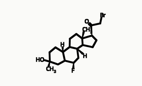 C[C@@]1(O)CC[C@@H]2C3CC[C@@]4(C)C(CC[C@@H]4C(=O)CBr)[C@@H]3C[C@@H](F)C2C1